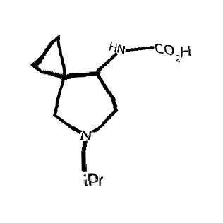 CC(C)N1CC(NC(=O)O)C2(CC2)C1